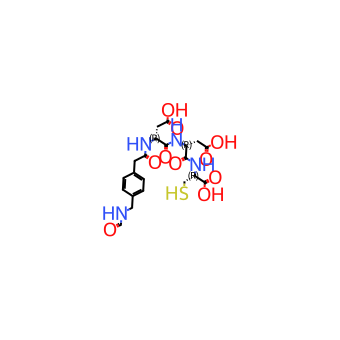 O=CNCc1ccc(CC(=O)N[C@H](CC(=O)O)C(=O)N[C@H](CC(=O)O)C(=O)N[C@@H](CS)C(=O)O)cc1